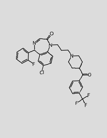 O=C(c1cccc(C(F)(F)F)c1)C1CCN(CCCN2C(=O)C=NC(c3ccccc3F)c3cc(Cl)ccc32)CC1